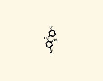 [C-]#[N+]c1ccc(Nc2cccc(Br)c2)c(N)c1